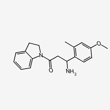 COc1ccc(C(N)CC(=O)N2CCc3ccccc32)c(C)c1